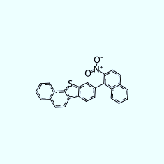 O=[N+]([O-])c1ccc2ccccc2c1-c1ccc2c(c1)sc1c3ccccc3ccc21